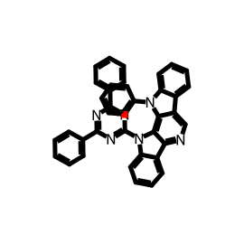 c1ccc(-c2nc(-c3ccccc3)nc(-n3c4ccccc4c4ncc5c6ccccc6n(-c6ccccc6)c5c43)n2)cc1